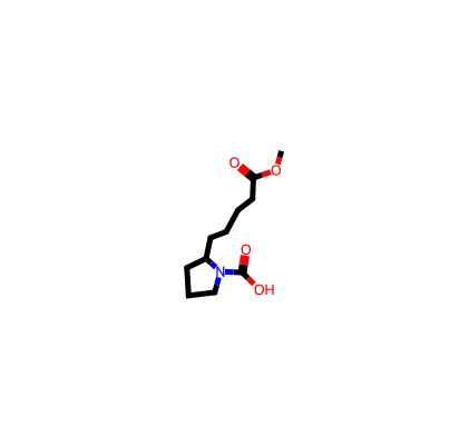 COC(=O)CCCCC1CCCN1C(=O)O